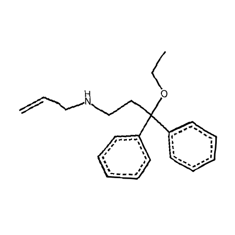 C=CCNCCC(OCC)(c1ccccc1)c1ccccc1